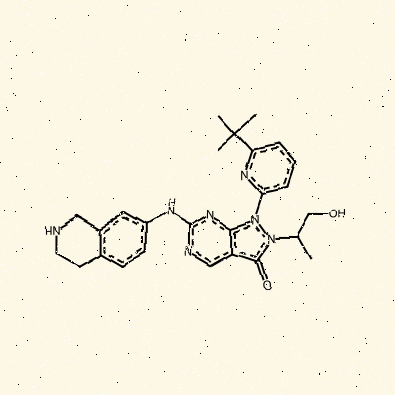 CC(CO)n1c(=O)c2cnc(Nc3ccc4c(c3)CNCC4)nc2n1-c1cccc(C(C)(C)C)n1